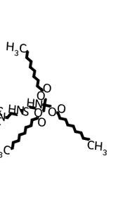 CCCCCCCCCC(=O)OCC(COC(=O)CCCCCCCCC)(COC(=O)CCCCCCCCC)NCCSNCCCN(C)C